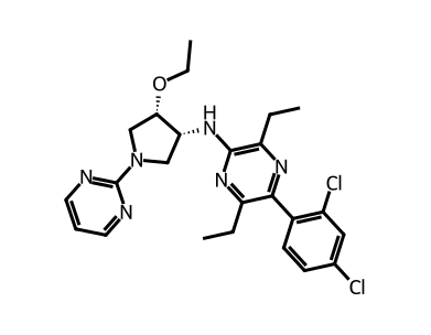 CCO[C@H]1CN(c2ncccn2)C[C@H]1Nc1nc(CC)c(-c2ccc(Cl)cc2Cl)nc1CC